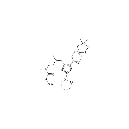 CN(CCN(C)C(=O)OC(C)(C)C)Cc1nn([C@H]2CCCCO2)cc1C1=CC[C@@]2(CC1)CC(C)(C)CO2